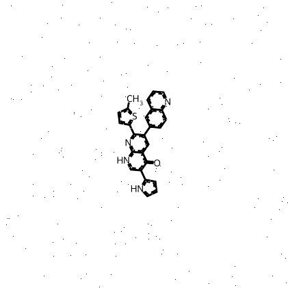 Cc1ccc(-c2nc3[nH]cc(-c4ccc[nH]4)c(=O)c3cc2-c2ccc3ncccc3c2)s1